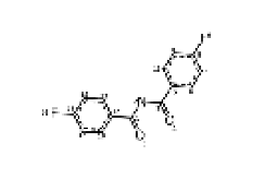 O=C([N]C(=O)c1ccc(F)cc1)c1ccc(F)cc1